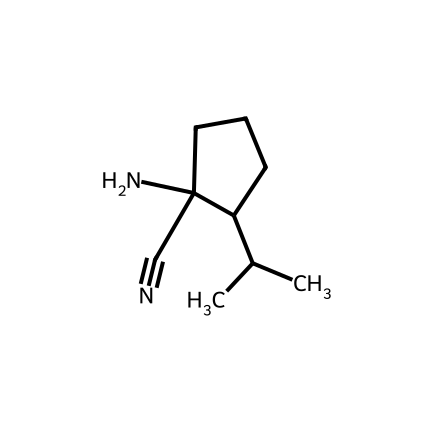 CC(C)C1CCCC1(N)C#N